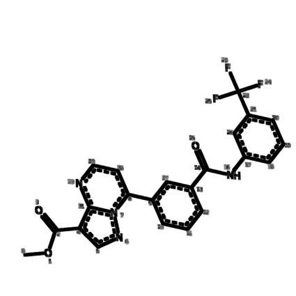 COC(=O)c1cnn2c(-c3cccc(C(=O)Nc4cccc(C(F)(F)F)c4)c3)ccnc12